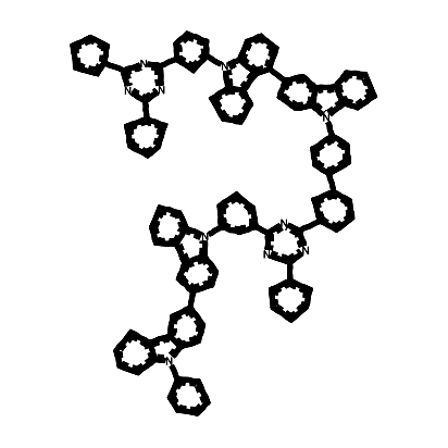 c1ccc(-c2nc(-c3cccc(-c4ccc(-n5c6ccccc6c6cc(-c7cccc8c7c7ccccc7n8-c7cccc(-c8nc(-c9ccccc9)nc(-c9ccccc9)n8)c7)ccc65)cc4)c3)nc(-c3cccc(-n4c5ccccc5c5cc(-c6ccc7c(c6)c6ccccc6n7-c6ccccc6)ccc54)c3)n2)cc1